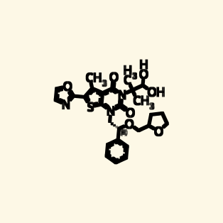 Cc1c(-c2ncco2)sc2c1c(=O)n(C(C)(C)C(O)O)c(=O)n2C[C@H](OCC1CCCO1)c1ccccc1